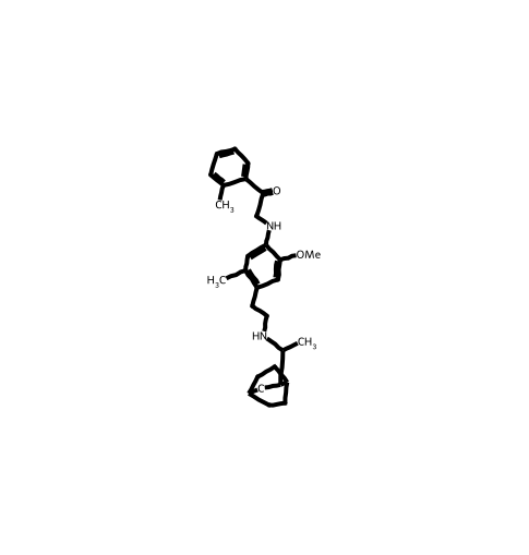 COc1cc(CCNC(C)C2CC3CCC2CC3)c(C)cc1NCC(=O)c1ccccc1C